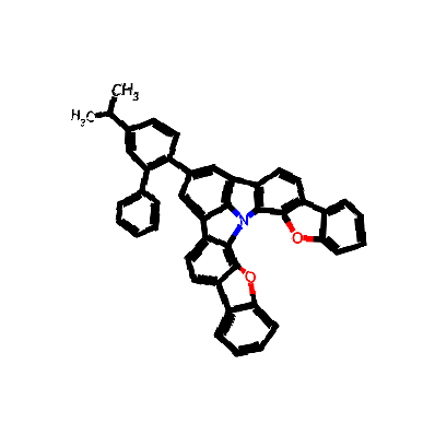 CC(C)c1ccc(-c2cc3c4ccc5c6ccccc6oc5c4n4c3c(c2)c2ccc3c5ccccc5oc3c24)c(-c2ccccc2)c1